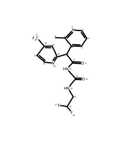 Cc1ncccc1C(C(=O)NC(=O)NCC(F)F)c1cc(C(F)(F)F)ccn1